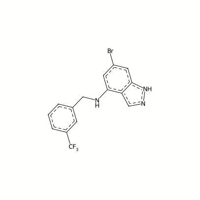 FC(F)(F)c1cccc(CNc2cc(Br)cc3[nH]ncc23)c1